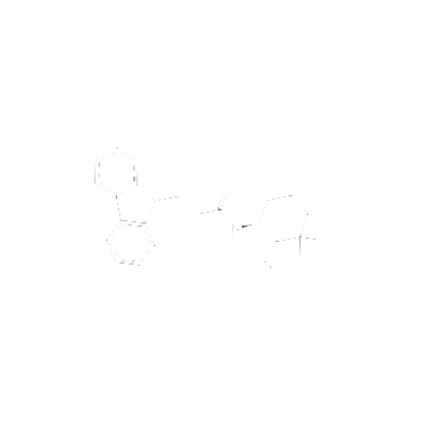 N[C@@H]1[C@@H](NC(=O)OCC2c3ccccc3-c3ccccc32)CCCC1(F)F